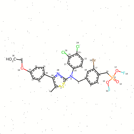 Cc1sc(N(Cc2ccc(CP(=O)(OF)OF)c(Br)c2)c2ccc(Cl)c(Cl)c2)nc1-c1ccc(OCC(=O)O)cc1